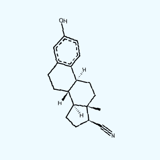 C[C@]12CC[C@@H]3c4ccc(O)cc4CC[C@H]3[C@@H]1CC[C@@H]2C#N